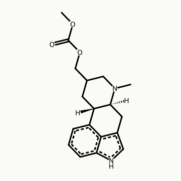 COC(=O)OCC1C[C@H]2c3cccc4[nH]cc(c34)C[C@@H]2N(C)C1